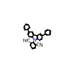 N#Cc1cccc(C#N)c1-n1c2ccc(-c3ccccc3)cc2c2cc(-c3ccccc3)ccc21